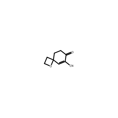 N#CC1=CC2(CCO2)CCC1=O